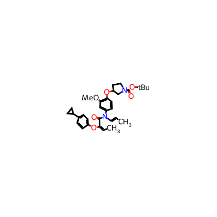 CC=CN(C(=O)C(=CC)Oc1ccc(C2CC2)cc1)c1ccc(OC2CCN(C(=O)OC(C)(C)C)C2)c(OC)c1